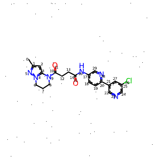 Cc1cc2n(n1)CCCN2C(=O)CCC(=O)Nc1ccc(-c2cncc(Cl)c2)nc1